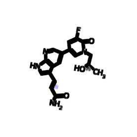 C[C@@H](O)Cn1cc(-c2cnc3[nH]cc(/C=C/C(N)=O)c3c2)cc(F)c1=O